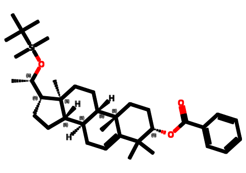 C[C@H](O[Si](C)(C)C(C)(C)C)[C@H]1CC[C@H]2[C@@H]3CC=C4C(C)(C)[C@@H](OC(=O)c5ccccc5)CC[C@@]4(C)[C@H]3CC[C@]12C